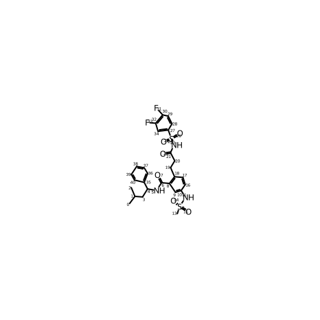 CC(C)CC(NC(=O)c1cc(NS(C)(=O)=O)ccc1CCC(=O)NS(=O)(=O)c1ccc(F)c(F)c1)c1ccccc1